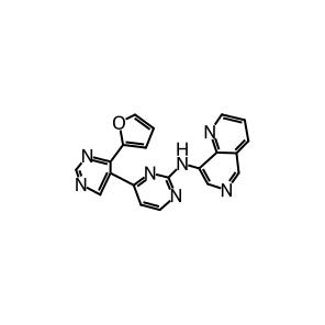 c1coc(-c2ncncc2-c2ccnc(Nc3cncc4cccnc34)n2)c1